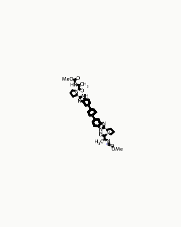 COO/C=N/[C@@H](C)C(=O)N1CCC[C@H]1c1nc2cc(-c3ccc(-c4ccc5[nH]c([C@@H]6CCCN6C(=O)[C@H](C)NC(=O)OC)nc5c4)cc3)ccc2[nH]1